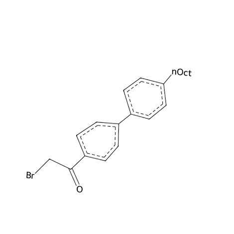 CCCCCCCCc1ccc(-c2ccc(C(=O)CBr)cc2)cc1